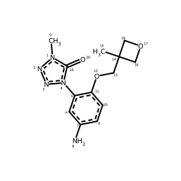 Cn1nnn(-c2cc(N)ccc2OCC2(C)COC2)c1=O